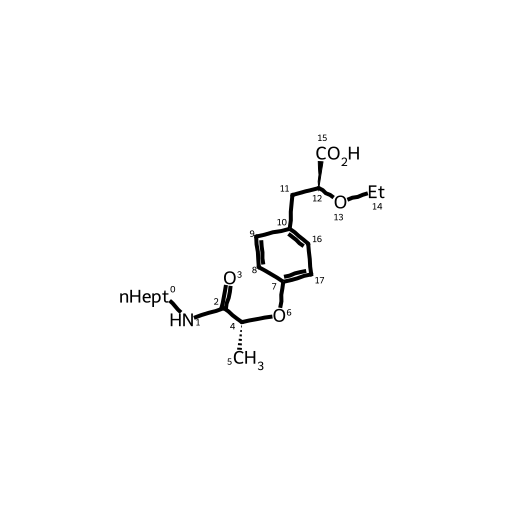 CCCCCCCNC(=O)[C@@H](C)Oc1ccc(C[C@H](OCC)C(=O)O)cc1